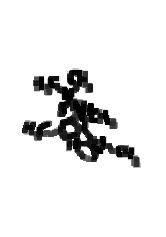 CCCN1CCC[C@@H]2c3cc(CC)cc4c3c(c(C)n4NC(=S)N(CC)CC)C[C@H]21